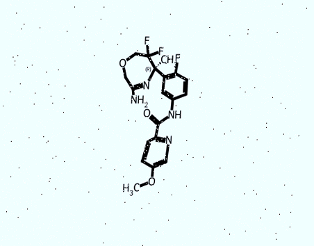 COc1ccc(C(=O)Nc2ccc(F)c([C@@]3(C)N=C(N)COCC3(F)F)c2)nc1